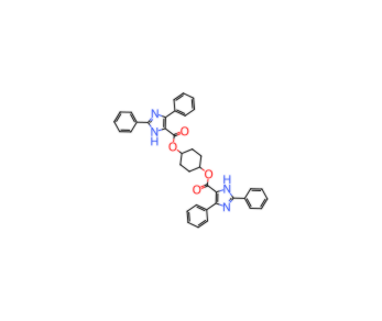 O=C(OC1CCC(OC(=O)c2[nH]c(-c3ccccc3)nc2-c2ccccc2)CC1)c1[nH]c(-c2ccccc2)nc1-c1ccccc1